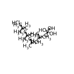 CN(C)C.CN(C)C.CN(C)C.CN(C)C.Cl.O=P(O)(O)O